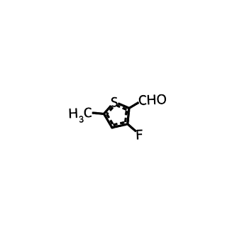 Cc1cc(F)c(C=O)s1